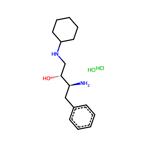 Cl.Cl.N[C@@H](Cc1ccccc1)[C@H](O)CNC1CCCCC1